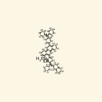 C[Si]1(C)c2cc(N(c3ccccc3)c3ccc4ccccc4c3)ccc2-c2cc3c4ccccc4c(-c4ccc(N(c5ccccc5)c5ccccc5)cc4)cc3c3cccc1c23